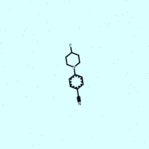 N#Cc1ccc(N2CCC(F)CC2)cc1